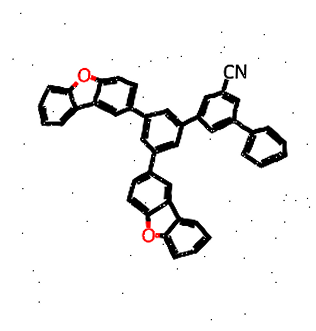 N#Cc1cc(-c2ccccc2)cc(-c2cc(-c3ccc4oc5ccccc5c4c3)cc(-c3ccc4oc5ccccc5c4c3)c2)c1